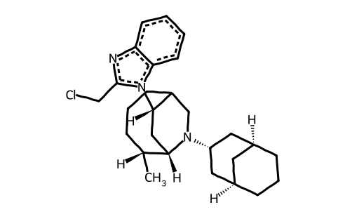 C[C@@H]1CCCC2CN([C@H]3C[C@@H]4CCC[C@@H](C4)C3)[C@H]1C[C@@H]2n1c(CCl)nc2ccccc21